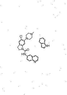 CN1CCN(c2cc3c(cc2Cl)CCN3C(=O)Nc2ccc3ncccc3c2)CC1.c1ccc2[nH]ccc2c1